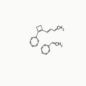 C=CC=CC1=C(c2ccccc2)CC1.C=Cc1ccccc1